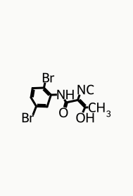 [C-]#[N+]/C(C(=O)Nc1cc(Br)ccc1Br)=C(\C)O